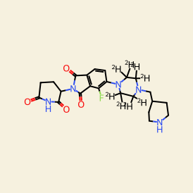 [2H]C1([2H])N(CC2CCNCC2)C([2H])([2H])C([2H])([2H])N(c2ccc3c(c2F)C(=O)N(C2CCC(=O)NC2=O)C3=O)C1([2H])[2H]